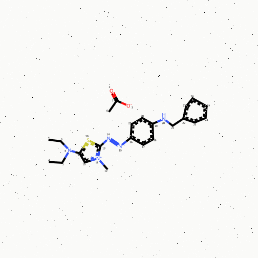 CC(=O)[O-].CCN(CC)c1c[n+](C)c(/N=N/c2ccc(NCc3ccccc3)cc2)s1